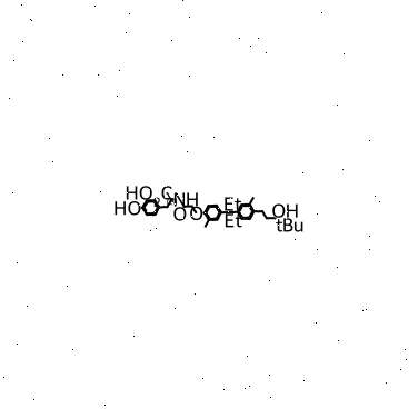 CCC(CC)(c1ccc(CCC(O)C(C)(C)C)c(C)c1)c1ccc(OCC(=O)N[C@@H](Cc2ccc(O)cc2)C(=O)O)c(C)c1